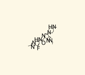 CCn1cc2c(N3CCC(NC)CC3)cnc(C(=O)Nc3cc(F)c4nc(C)cn4c3)c2n1